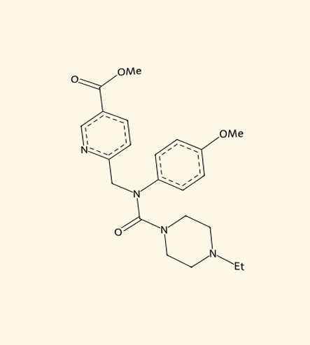 CCN1CCN(C(=O)N(Cc2ccc(C(=O)OC)cn2)c2ccc(OC)cc2)CC1